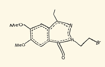 COc1cc2c(C)nn(CCBr)c(=O)c2cc1OC